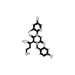 C=C(CCO)C1C(=O)N(c2ncc(Cl)cc2F)CC(=O)N1Cc1ccc(Cl)cc1